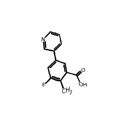 Cc1c(F)cc(-c2cccnc2)cc1C(=O)O